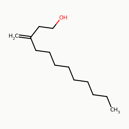 C=C(CCO)CCCCCCCCC